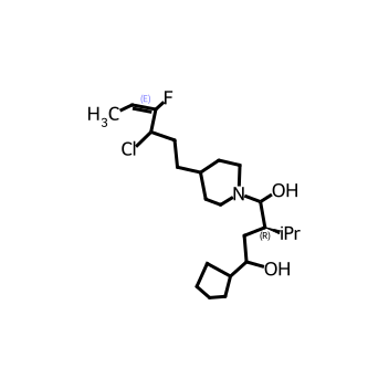 C/C=C(/F)C(Cl)CCC1CCN(C(O)[C@H](CC(O)C2CCCC2)C(C)C)CC1